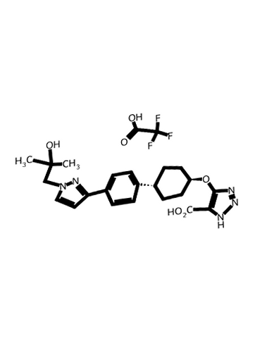 CC(C)(O)Cn1ccc(-c2ccc([C@H]3CC[C@H](Oc4nn[nH]c4C(=O)O)CC3)cc2)n1.O=C(O)C(F)(F)F